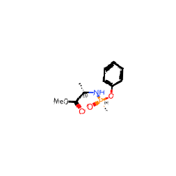 COC(=O)[C@H](C)N[P@](C)(=O)Oc1ccccc1